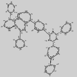 c1ccc(-c2ccc(-c3nc(-c4ccccc4)nc(-c4ccc(-c5cccc6c5nc(-c5ccccc5)c5cccc(-c7ccccc7)c56)cc4)n3)cc2)cc1